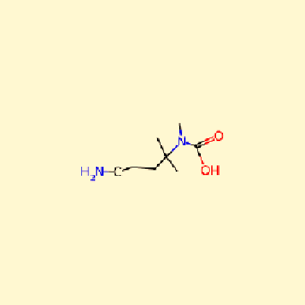 CN(C(=O)O)C(C)(C)CCCN